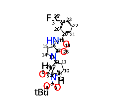 CC(C)(C)OC(=O)N1C(=O)[C@@H]2C[C@H]1CC[C@@H]2N1CCC(NC(=O)c2cccc(C(F)(F)F)c2)C1=O